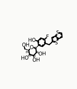 OC[C@H]1O[C@@H](c2cc(Cc3cc4sccc4s3)c(F)cc2O)[C@H](O)[C@@H](O)[C@@H]1O